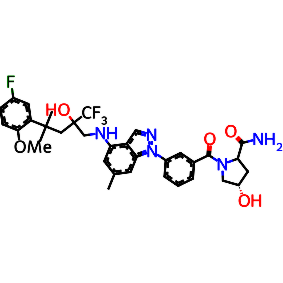 COc1ccc(F)cc1C(C)(C)CC(O)(CNc1cc(C)cc2c1cnn2-c1cccc(C(=O)N2C[C@@H](O)CC2C(N)=O)c1)C(F)(F)F